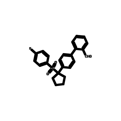 O=Cc1ccccc1-c1ccc(C2(S(=O)(=O)c3ccc(F)cc3)CCCC2)cc1